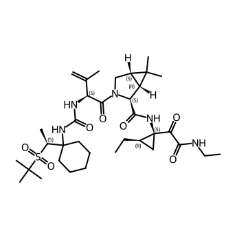 C=C(C)[C@H](NC(=O)NC1([C@H](C)S(=O)(=O)C(C)(C)C)CCCCC1)C(=O)N1C[C@H]2[C@@H]([C@H]1C(=O)N[C@@]1(C(=O)C(=O)NCC)C[C@H]1CC)C2(C)C